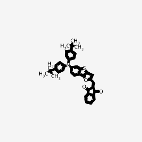 CC(C)(C)c1ccc(N(c2ccc(C(C)(C)C)cc2)c2ccc3c(c2)sc2cc(C=C4C(=O)c5ccccc5C4=O)oc23)cc1